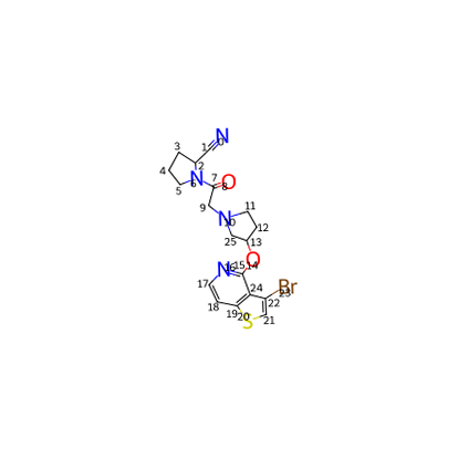 N#CC1CCCN1C(=O)CN1CCC(Oc2nccc3scc(Br)c23)C1